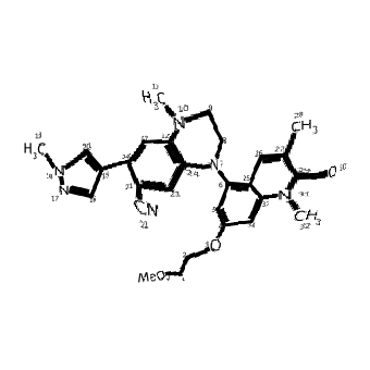 COCCOc1cc(N2CCN(C)c3cc(-c4cnn(C)c4)c(C#N)cc32)c2cc(C)c(=O)n(C)c2c1